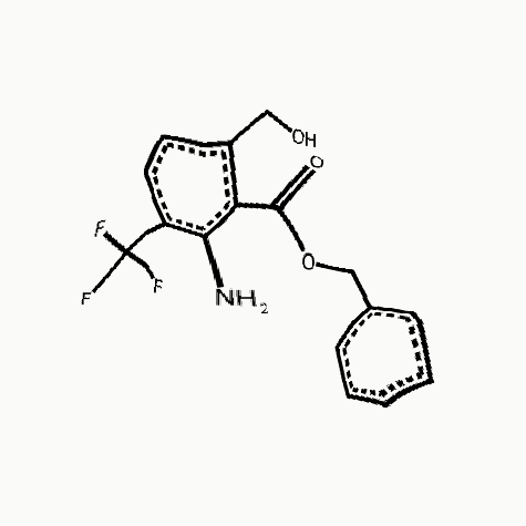 Nc1c(C(F)(F)F)ccc(CO)c1C(=O)OCc1ccccc1